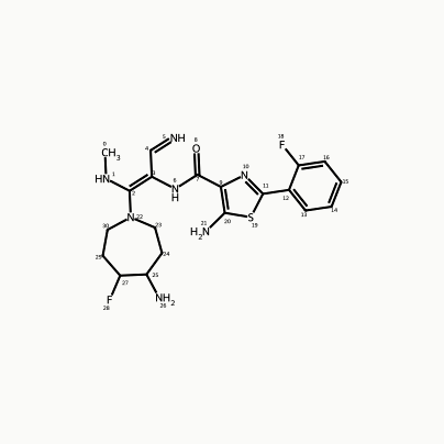 CN/C(=C(\C=N)NC(=O)c1nc(-c2ccccc2F)sc1N)N1CCC(N)C(F)CC1